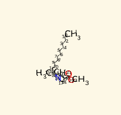 CCCCCCCCCCCCC(C)(C)Cn1ccc(C(=O)OC)c1